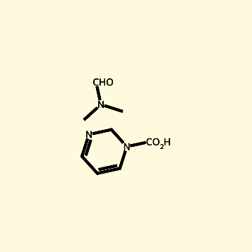 CN(C)C=O.O=C(O)N1C=CC=NC1